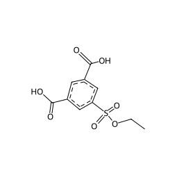 CCOS(=O)(=O)c1cc(C(=O)O)cc(C(=O)O)c1